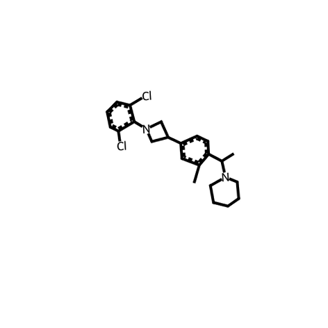 Cc1cc(C2CN(c3c(Cl)cccc3Cl)C2)ccc1C(C)N1CCCCC1